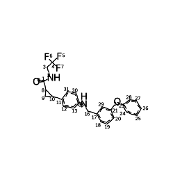 O=C(NCC(F)(F)F)C1CC1c1ccc(NCc2cccc(Oc3ccccc3)c2)cc1